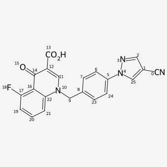 N#Cc1cnn(-c2ccc(Cn3cc(C(=O)O)c(=O)c4c(F)cccc43)cc2)c1